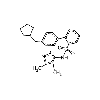 Cc1noc(NS(=O)(=O)c2ccccc2-c2ccc(CC3CCCC3)cc2)c1C